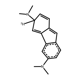 [2H]C1(N(C)C)C=CC2=Cc3ccc(N(C)C)cc3C2=C1